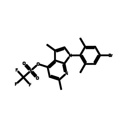 Cc1cc(OS(=O)(=O)C(F)(F)F)c2c(C)cn(-c3c(C)cc(Br)cc3C)c2n1